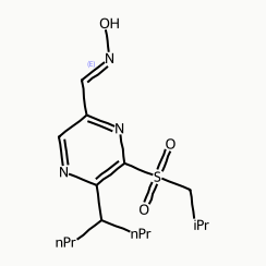 CCCC(CCC)c1ncc(/C=N/O)nc1S(=O)(=O)CC(C)C